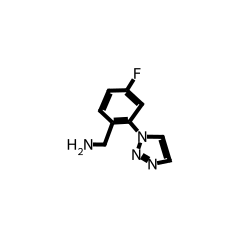 NCc1ccc(F)cc1-n1ccnn1